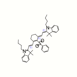 CCCCN1/C(=C/C=C2\CCCC(/C=C/C3=[N+](CCCC)c4ccccc4C3(C)C)=C2S(=O)(=O)c2ccccc2)C(C)(C)c2ccccc21